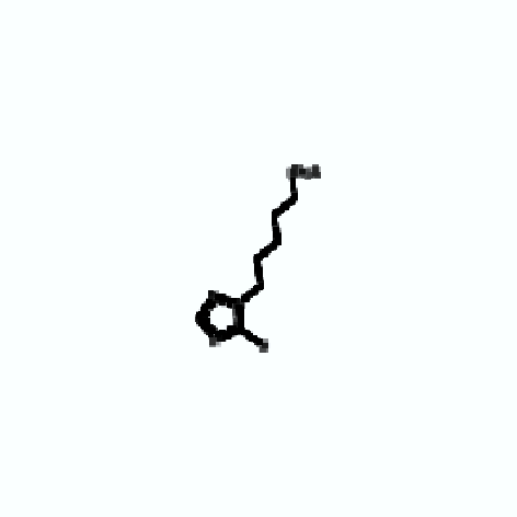 CCCCCCCCCCCCn1ncnc1[S]